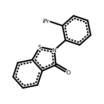 CC(C)c1ccccc1-n1sc2ccccc2c1=O